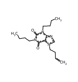 C=CCCn1cnc2c1c(=O)n(CCCC)c(=O)n2CCCC